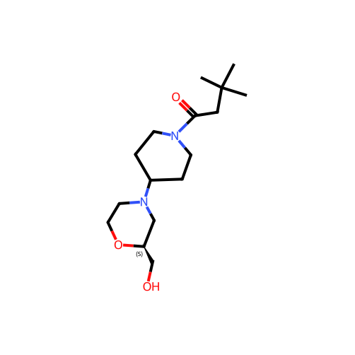 CC(C)(C)CC(=O)N1CCC(N2CCO[C@H](CO)C2)CC1